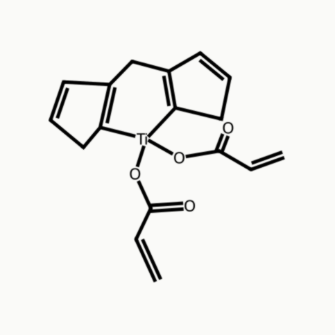 C=CC(=O)[O][Ti]1([O]C(=O)C=C)[C]2=C(C=CC2)CC2=[C]1CC=C2